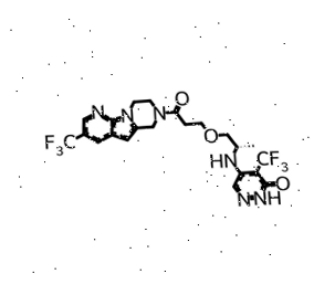 C[C@@H](COCCC(=O)N1CCn2c(cc3cc(C(F)(F)F)cnc32)C1)Nc1cn[nH]c(=O)c1C(F)(F)F